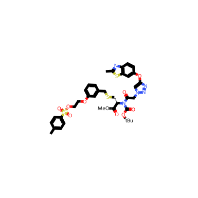 COC(=O)[C@H](CSCc1cccc(OCCOS(=O)(=O)c2ccc(C)cc2)c1)N(C(=O)Cn1cc(Oc2ccc3nc(C)sc3c2)nn1)C(=O)OC(C)(C)C